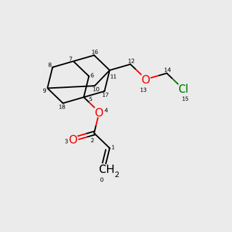 C=CC(=O)OC12CC3CC(CC(COCCl)(C3)C1)C2